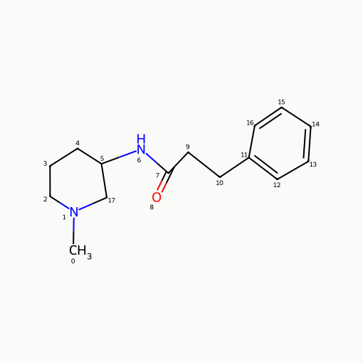 CN1CCCC(NC(=O)CCc2ccccc2)C1